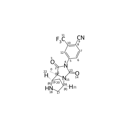 C[C@]12C(=O)N(c3ccc(C#N)c(C(F)(F)F)c3)C(=O)N1[C@H]1CN[C@@H]2C1